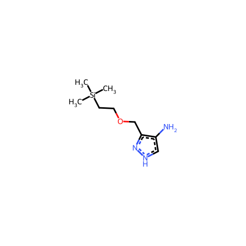 C[Si](C)(C)CCOCc1n[nH]cc1N